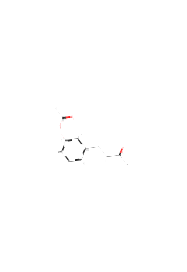 CC(=O)CCc1cccc(OC(C)=O)c1